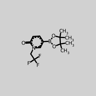 CC1(C)OB(c2ccc(=O)n(CC(F)(F)F)c2)OC1(C)C